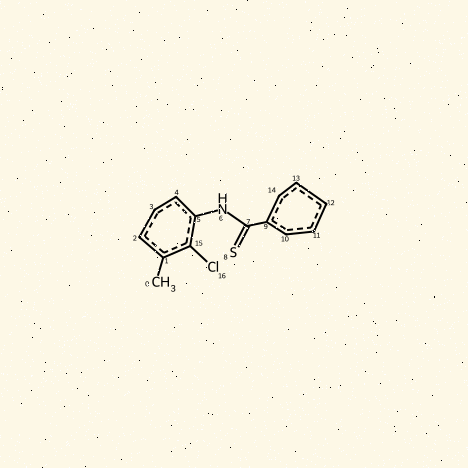 Cc1cccc(NC(=S)c2ccccc2)c1Cl